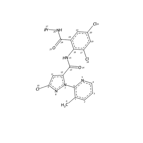 Cc1cccnc1-n1nc(Cl)cc1C(=O)Nc1c(Cl)cc(Cl)cc1C(=O)NC(C)C